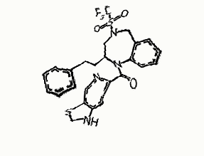 O=C(c1cc2c(cn1)SCN2)N1c2ccccc2CN(S(=O)(=O)C(F)(F)F)C[C@@H]1CCc1ccccc1